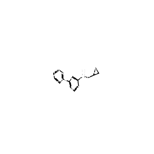 c1ccc(-c2cccc(NCC3CC3)c2)cc1